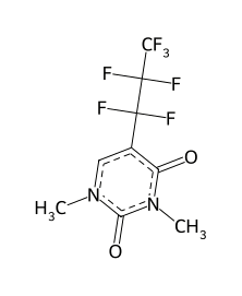 Cn1cc(C(F)(F)C(F)(F)C(F)(F)F)c(=O)n(C)c1=O